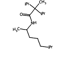 CC(C)CCCC(C)NC(=O)C(C)(C(C)C)C(C)C